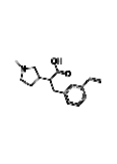 C=Cc1cccc(CC(C(=O)O)C2CCN(C)C2)c1